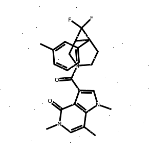 Cc1cccc(C23CCN(C(=O)c4cn(C)c5c(C)cn(C)c(=O)c45)CC2C3(F)F)c1